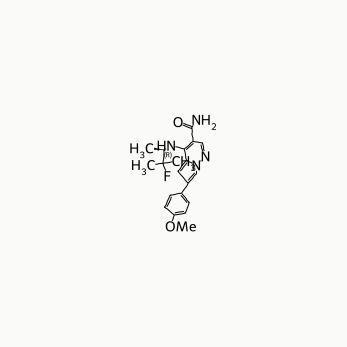 COc1ccc(-c2cc3c(N[C@H](C)C(C)(C)F)c(C(N)=O)cnn3c2)cc1